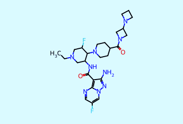 CCN1CC(F)C(N2CCC(C(=O)N3CC(N4CCC4)C3)CC2)C(NC(=O)c2c(N)nn3cc(F)cnc23)C1